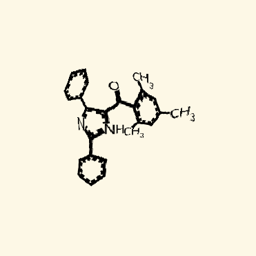 Cc1cc(C)c(C(=O)c2[nH]c(-c3ccccc3)nc2-c2ccccc2)c(C)c1